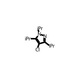 CC(C)c1nn(C(C)C)c(C(C)C)c1Cl